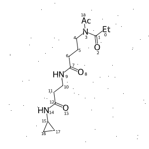 CCC(=O)N(CCCC(=O)NCCC(=O)NC1CC1)C(C)=O